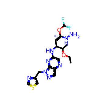 CCOC(C)C(/C=C(\NN)OC(F)F)Nc1cnc2cnn(Cc3cscn3)c2n1